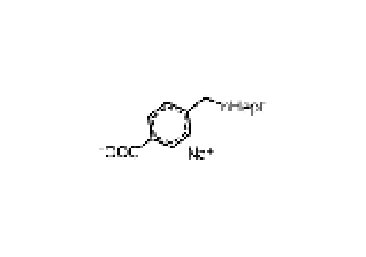 CCCCCCCCc1ccc(C(=O)[O-])cc1.[Na+]